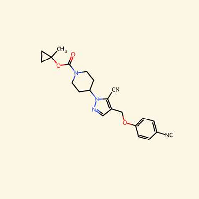 [C-]#[N+]c1ccc(OCc2cnn(C3CCN(C(=O)OC4(C)CC4)CC3)c2C#N)cc1